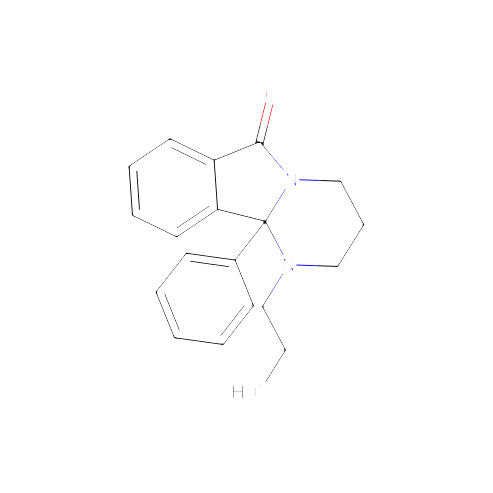 CCCN1CCCN2C(=O)c3ccccc3C12c1ccccc1